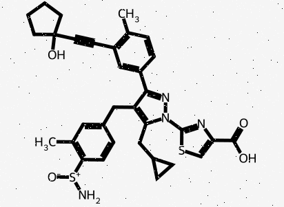 Cc1ccc(-c2nn(-c3nc(C(=O)O)cs3)c(CC3CC3)c2Cc2ccc([S+](N)[O-])c(C)c2)cc1C#CC1(O)CCCC1